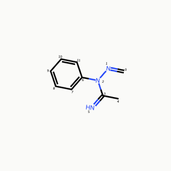 C=NN(C(C)=N)c1ccccc1